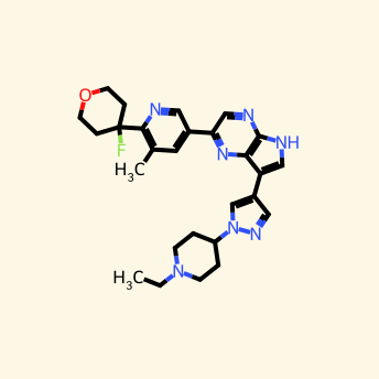 CCN1CCC(n2cc(-c3c[nH]c4ncc(-c5cnc(C6(F)CCOCC6)c(C)c5)nc34)cn2)CC1